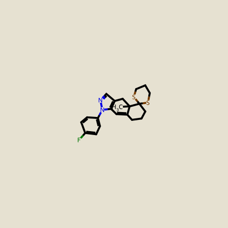 CC12Cc3cnn(-c4ccc(F)cc4)c3C=C1CCCC21SCCCS1